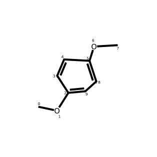 COc1[c]cc(OC)[c]c1